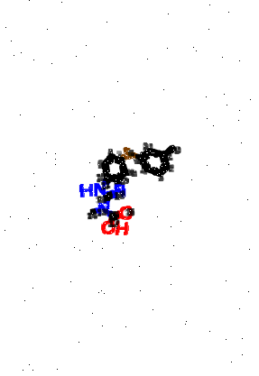 Cc1cccc(Sc2ccc3[nH]c(N(C)C(=O)O)nc3c2)c1